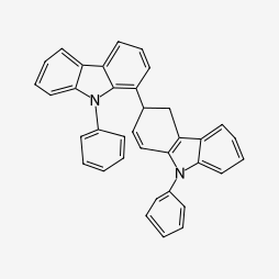 C1=CC(c2cccc3c4ccccc4n(-c4ccccc4)c23)Cc2c1n(-c1ccccc1)c1ccccc21